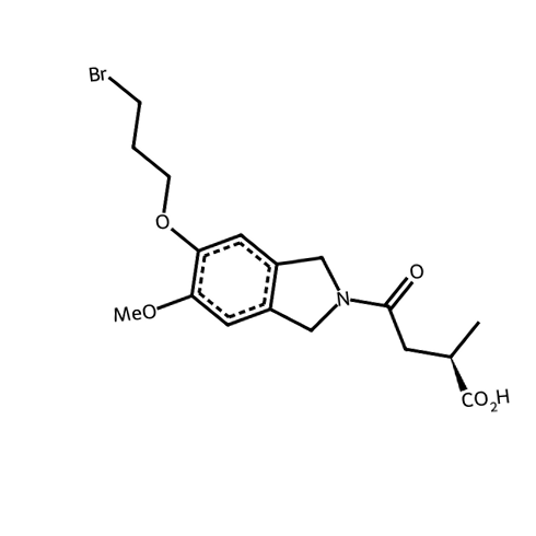 COc1cc2c(cc1OCCCBr)CN(C(=O)C[C@@H](C)C(=O)O)C2